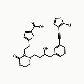 O=C(O)c1ccc(CCN2C(=O)SCCN2CCC(O)Cc2cccc(C#Cc3ccsc3Cl)c2)s1